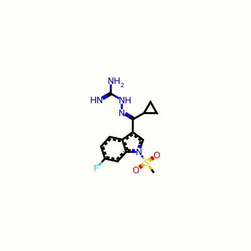 CS(=O)(=O)n1cc(C(=NNC(=N)N)C2CC2)c2ccc(F)cc21